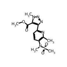 COC(=O)c1c(-c2ccc(N(C)S(C)(=O)=O)c(C)n2)nnn1C